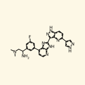 CN(C)CC(N)c1cc(F)cc(-c2ccnc3[nH]c(-c4n[nH]c5ccc(-c6cn[nH]c6)nc45)nc23)c1